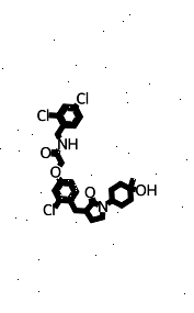 CC1(O)CCC(N2CCC(Cc3ccc(OCC(=O)NCc4ccc(Cl)cc4Cl)cc3Cl)C2=O)CC1